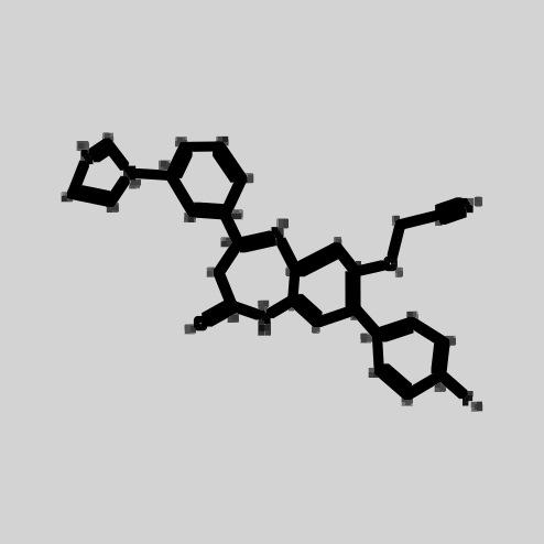 N#CCOc1cc2c(cc1-c1ccc(F)cc1)NC(=O)CC(c1cccc(-n3ccnc3)c1)=N2